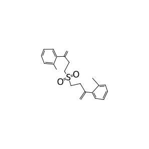 C=C(CCS(=O)(=O)CCC(=C)c1ccccc1C)c1ccccc1C